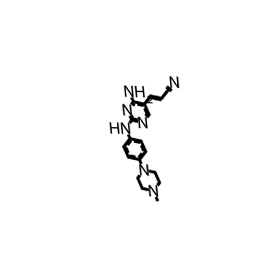 CN1CCN(c2ccc(Nc3ncc(C=CC#N)c(N)n3)cc2)CC1